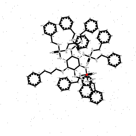 O=P(OCc1ccccc1)(OCc1ccccc1)O[C@H]1[C@H](OP(=O)(OCc2ccccc2)OCc2ccccc2)[C@@H](OP(=O)(OCc2ccccc2)OCc2ccccc2)[C@@H](On2nnc3ccccc32)[C@@H](OCCCc2ccccc2)[C@@H]1OP(=O)(OCc1ccccc1)OCc1ccccc1